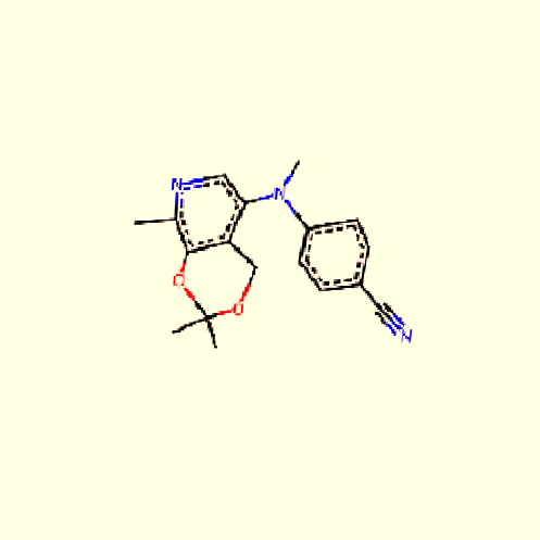 Cc1ncc(N(C)c2ccc(C#N)cc2)c2c1OC(C)(C)OC2